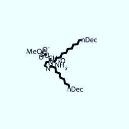 CCCCCCCCCCCCCCCCCC(=O)CC(N)[N+]1(C)CCN=C1CCCCCCCCCCCCCCCCC.COS(=O)(=O)[O-]